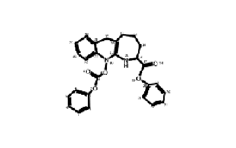 O=C(Oc1ccccc1)ON1C2=C(CCCC(C(=O)Oc3ccccc3)N2)Cc2ccccc21